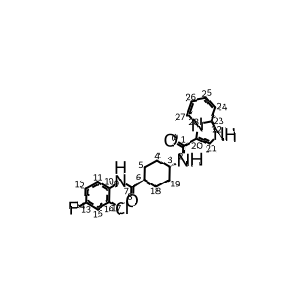 O=C(N[C@H]1CC[C@H](C(=O)Nc2ccc(F)cc2Cl)CC1)C1=CNC2C=CC=CN12